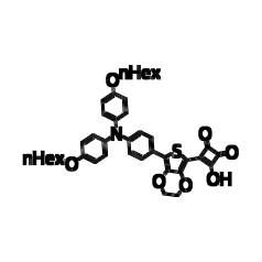 CCCCCCOc1ccc(N(c2ccc(OCCCCCC)cc2)c2ccc(-c3sc(-c4c(O)c(=O)c4=O)c4c3OCCO4)cc2)cc1